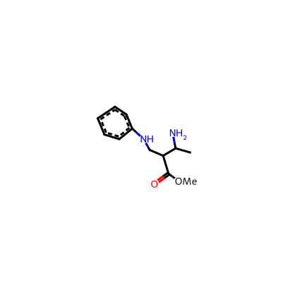 COC(=O)C(CNc1ccccc1)C(C)N